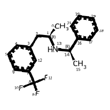 C[C@H](Cc1cccc(C(F)(F)F)c1)N[C@H](C)c1ccccc1